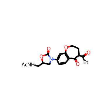 CCC(=O)C1CCOc2cc(N3CC(CNC(C)=O)OC3=O)ccc2C1=O